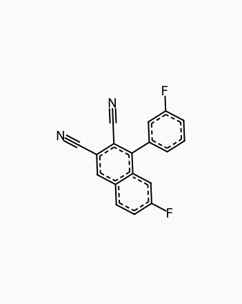 N#Cc1cc2ccc(F)cc2c(-c2cccc(F)c2)c1C#N